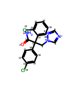 NC(=O)C(Cn1cncn1)(c1ccc(Cl)cc1)c1ccccc1Cl